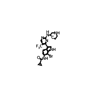 O=C(Nc1ccc2c(-c3nc(NC4CCCNC4)ncc3C(F)(F)F)c[nH]c2c1Br)C1CC1